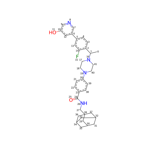 CC(c1ccc(-c2cncc(O)c2)cc1F)N1CCN(c2ccc(C(=O)NCC34CC5CC(CC(C5)C3)C4)cc2)CC1